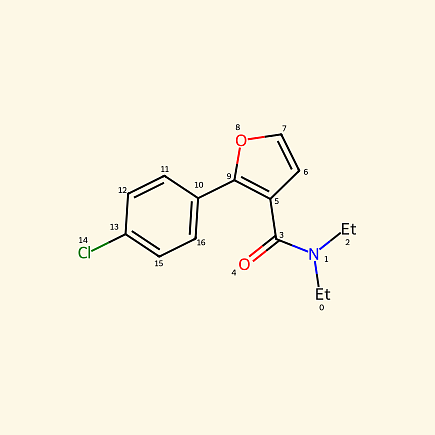 CCN(CC)C(=O)c1ccoc1-c1ccc(Cl)cc1